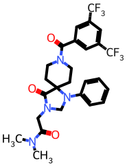 CN(C)C(=O)CN1CN(c2ccccc2)C2(CCN(C(=O)c3cc(C(F)(F)F)cc(C(F)(F)F)c3)CC2)C1=O